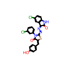 O=C1Nc2ccc(Cl)cc2C1=NN=C1SC(=Cc2ccc(O)cc2)C(=O)N1c1cccc(Cl)c1